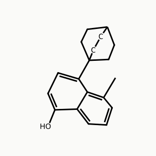 Cc1cccc2c(O)ccc(C34CCC(CC3)CC4)c12